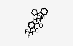 O=C(NCc1ccccc1C1(O)CCCC1)c1cccc(C(F)(F)F)c1Cl